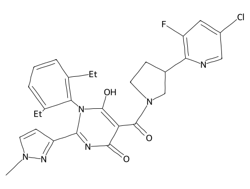 CCc1cccc(CC)c1-n1c(-c2ccn(C)n2)nc(=O)c(C(=O)N2CCC(c3ncc(Cl)cc3F)C2)c1O